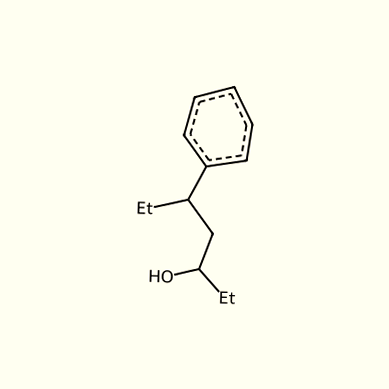 CCC(O)CC(CC)c1ccccc1